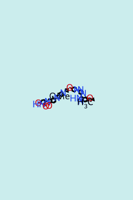 COc1c(N2CC3(CCN([C@H]4C[C@H](OC5CCN(c6cc(-c7[nH]nc8ccc(OC9(C)CC9)cc78)ncn6)CC5)C4)CC3)C2)ccc2c1CN(C1CCC(=O)NC1=O)C2=O